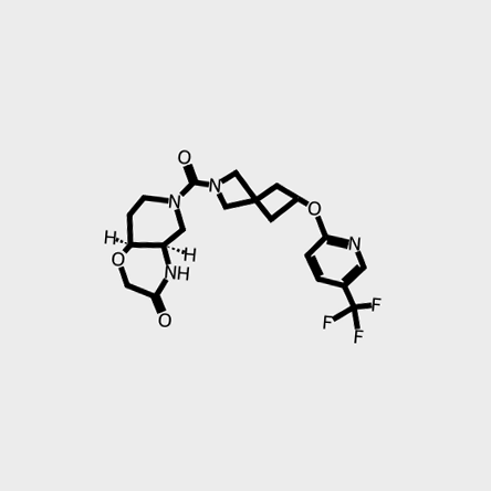 O=C1CO[C@H]2CCN(C(=O)N3CC4(CC(Oc5ccc(C(F)(F)F)cn5)C4)C3)C[C@H]2N1